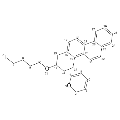 C1=CCOC=C1.ICCCCOC1CCc2c(ccc3c2ccc2ccccc23)C1